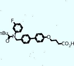 CCCCC(=O)N(Cc1ccc(-c2ccc(OCCCC(=O)O)cc2)cc1)c1cccc(F)c1